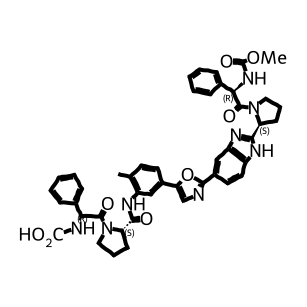 COC(=O)N[C@@H](C(=O)N1CCC[C@H]1c1nc2cc(-c3ncc(-c4ccc(C)c(NC(=O)[C@@H]5CCCN5C(=O)[C@H](NC(=O)O)c5ccccc5)c4)o3)ccc2[nH]1)c1ccccc1